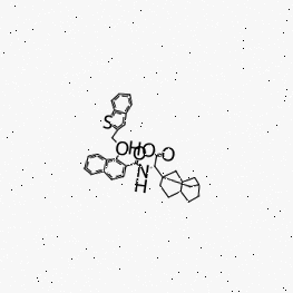 O=C(N[C@H](C(=O)O)C12CCC3CCC(CC3C1)C2)c1ccc2ccccc2c1OCc1cc2ccccc2s1